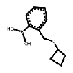 OB(O)c1ccccc1COC1CCC1